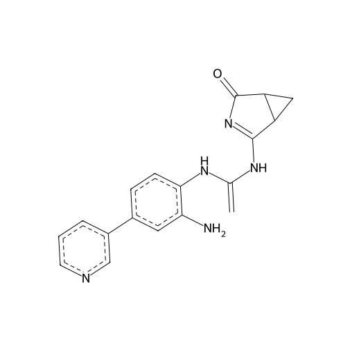 C=C(NC1=NC(=O)C2CC12)Nc1ccc(-c2cccnc2)cc1N